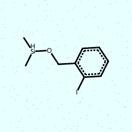 C[SiH](C)OCc1ccccc1I